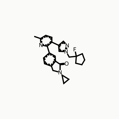 Cc1ccc(-c2cnn(CC3(F)CCCC3)c2)c(-c2ccc3c(c2)C(=O)N(C2CC2)C3)n1